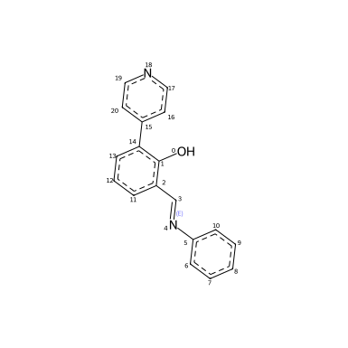 Oc1c(/C=N/c2ccccc2)cccc1-c1ccncc1